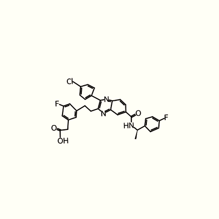 C[C@@H](NC(=O)c1ccc2nc(-c3ccc(Cl)cc3)c(CCc3cc(F)cc(CC(=O)O)c3)nc2c1)c1ccc(F)cc1